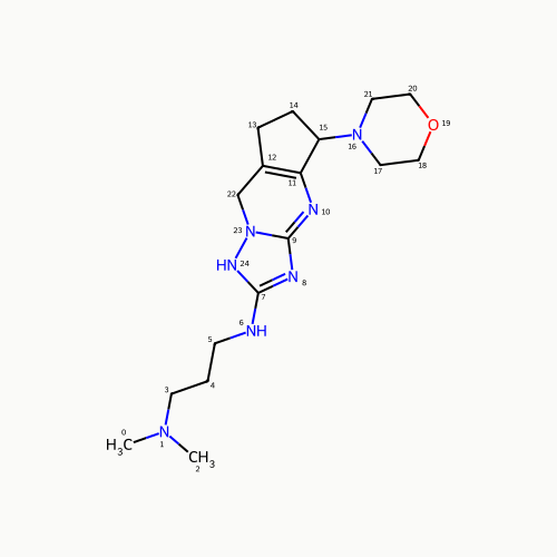 CN(C)CCCNC1=NC2=NC3=C(CCC3N3CCOCC3)CN2N1